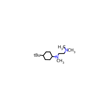 CN(C)CCN(C)C1CCC(C(C)(C)C)CC1